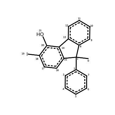 CC1(c2ccccc2)c2ccccc2-c2c1ccc(I)c2O